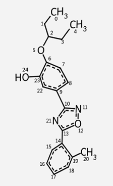 CCC(CC)Oc1ccc(-c2noc(-c3ccccc3C)n2)cc1O